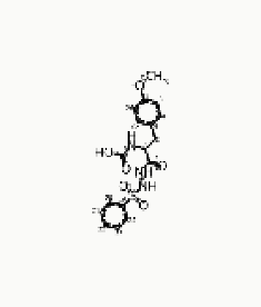 COc1ccc(CC(NC(=O)O)C(=O)NNS(=O)(=O)c2ccccc2)cc1